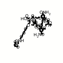 CCc1nc(C)oc1C(=O)Nc1nc2cc(C(N)=O)cc(OC)c2n1C/C=C/Cn1c(NC(=O)c2oc(C)nc2CC)nc2cc(C(N)=O)cc(OCCCNC(=O)[C@@H](CCC(=O)O)NC(=O)CCOCCOCCOCCOCCNC(=O)CN3C(=O)C=CC3=O)c21